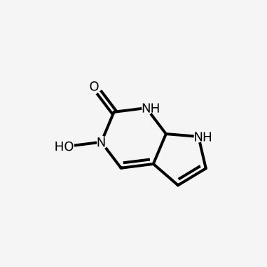 O=C1NC2NC=CC2=CN1O